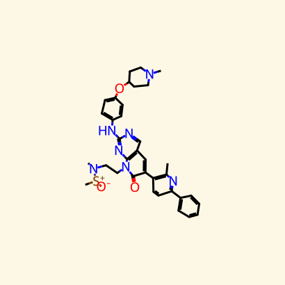 Cc1nc(-c2ccccc2)ccc1-c1cc2cnc(Nc3ccc(OC4CCN(C)CC4)cc3)nc2n(CCN(C)[S+](C)[O-])c1=O